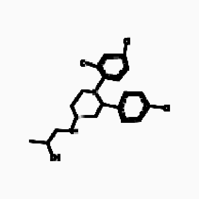 CC(O)CNC1CCN(c2ccc(Cl)cc2Cl)C(c2ccc(Cl)cc2)C1